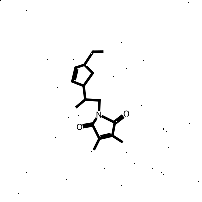 CCC1C=CC(C(C)CN2C(=O)C(C)=C(C)C2=O)C1